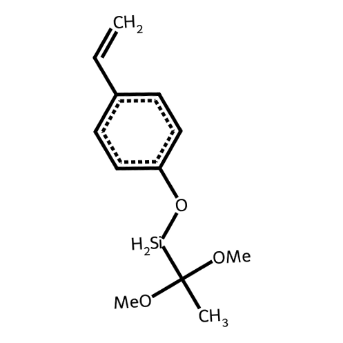 C=Cc1ccc(O[SiH2]C(C)(OC)OC)cc1